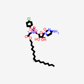 CCCCCCCC/C=C\CCCCCCCCOC(=O)[C@H](C)NP(=O)(OC[C@H]1O[C@@H](n2ccc(N)nc2=O)[C@](C)(O)[C@@H]1O)Oc1ccc(Cl)cc1